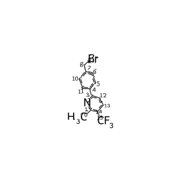 Cc1nc(-c2ccc(CBr)cc2)ccc1C(F)(F)F